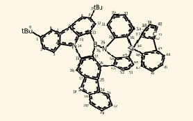 CC(C)(C)c1ccc2c(c1)c1cc(C(C)(C)C)cc3c1n2-c1cc2sc4ccccc4c2c2c1B3N1c3ccccc3[Si]3(c4ccccc4-c4ccccc43)c3cccc-2c31